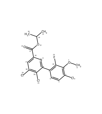 COc1c(Cl)ccc(-c2nc(C(=O)OC(C)C)cc(Cl)c2Cl)c1F